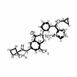 Cn1cnnc1C(OC1CC1)c1cccc(N2Cc3c(cc(CNC4(C)CCC4)cc3C(F)(F)F)C2=O)c1